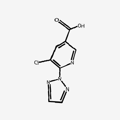 O=C(O)c1cnc(-n2nccn2)c(Cl)c1